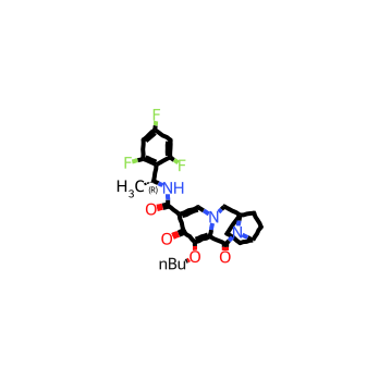 CCCCOc1c2n(cc(C(=O)N[C@H](C)c3c(F)cc(F)cc3F)c1=O)CC13CCC(CC1)N3C2=O